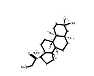 CSCC(=O)[C@H]1CC[C@H]2[C@@H]3CC[C@@H]4C[C@@](C)(O)CC[C@@H]4[C@H]3CC[C@]12C